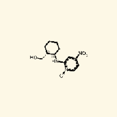 O=[N+]([O-])c1cc[n+]([O-])c(N[C@@H]2CCCC[C@H]2CO)c1